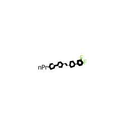 CCC[C@H]1CC[C@H]([C@H]2CC[C@H](CC[C@H]3CC[C@H](c4ccc(F)c(F)c4)CC3)CC2)CC1